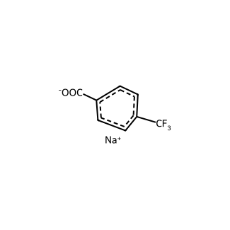 O=C([O-])c1ccc(C(F)(F)F)cc1.[Na+]